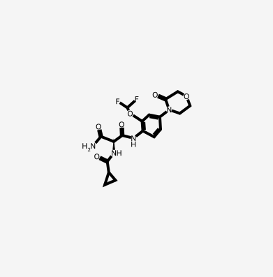 NC(=O)[C@H](NC(=O)C1CC1)C(=O)Nc1ccc(N2CCOCC2=O)cc1OC(F)F